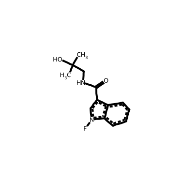 CC(C)(O)CNC(=O)c1cn(F)c2ccccc12